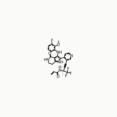 C=CC(=O)N[C@@](C)(C#Cc1cnccc1-c1[nH]c2c(c1Nc1cccc(F)c1OC)C(=O)NCC2)C(F)(F)F